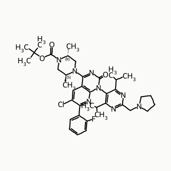 CC(C)c1nc(CN2CCCC2)nc(C(C)C)c1-n1c(=O)nc(N2C[C@@H](C)N(C(=O)OC(C)(C)C)C[C@@H]2C)c2cc(Cl)c(-c3ccccc3F)nc21